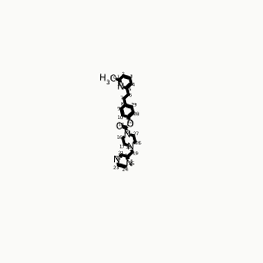 Cc1cccc(CCc2ccc(OC(=O)N3CCN(Cc4cnccn4)CC3)cc2)n1